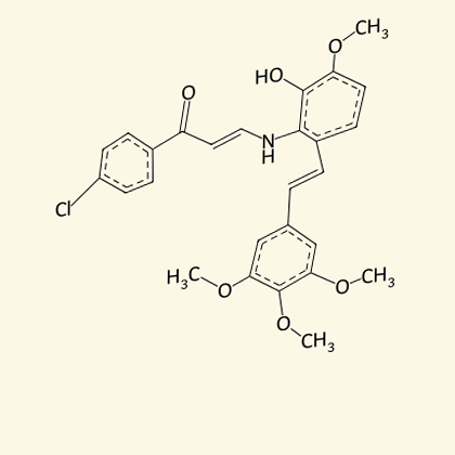 COc1ccc(C=Cc2cc(OC)c(OC)c(OC)c2)c(NC=CC(=O)c2ccc(Cl)cc2)c1O